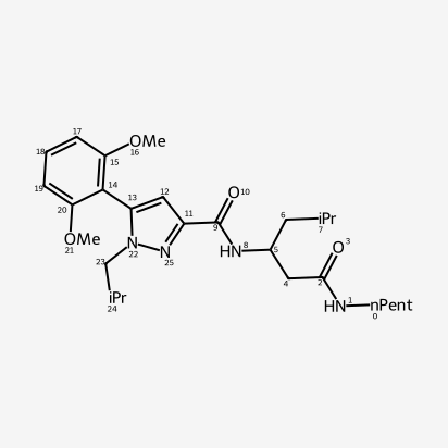 CCCCCNC(=O)CC(CC(C)C)NC(=O)c1cc(-c2c(OC)cccc2OC)n(CC(C)C)n1